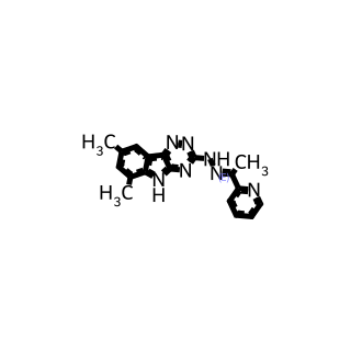 C/C(=N\Nc1nnc2c(n1)[nH]c1c(C)cc(C)cc12)c1ccccn1